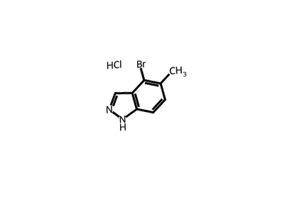 Cc1ccc2[nH]ncc2c1Br.Cl